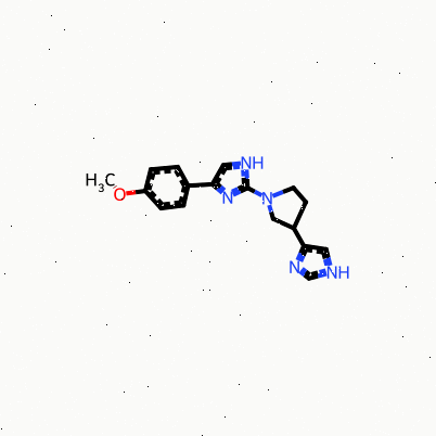 COc1ccc(-c2c[nH]c(N3CCC(c4c[nH]cn4)C3)n2)cc1